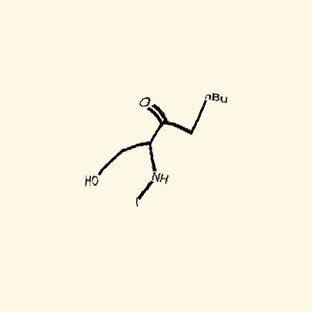 CCCCCC(=O)C(CO)NI